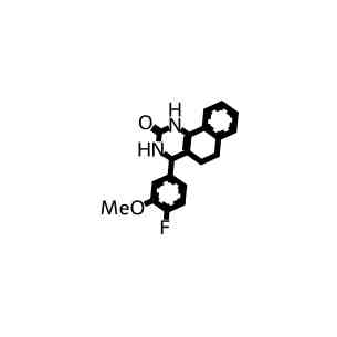 COc1cc(C2NC(=O)NC3=C2CCc2ccccc23)ccc1F